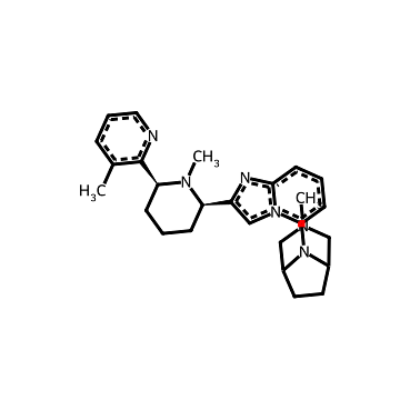 Cc1cccnc1[C@@H]1CCC[C@H](c2cn3c(N4C5CCC4CN(C)C5)cccc3n2)N1C